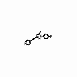 Cc1cc(C#Cc2ccncc2)nn1-c1ccc(F)cc1